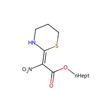 CCCCCCCOC(=O)C(=C1NCCCS1)[N+](=O)[O-]